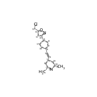 Cc1cc(C#Cc2ccc(-c3cc(CCl)on3)cc2)cc(C)n1